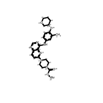 Cc1cc(Nc2ncnc3ccc(N4CCN(C(=O)OC(C)(C)C)CC4)nc23)ccc1O[C@H]1CCCOC1